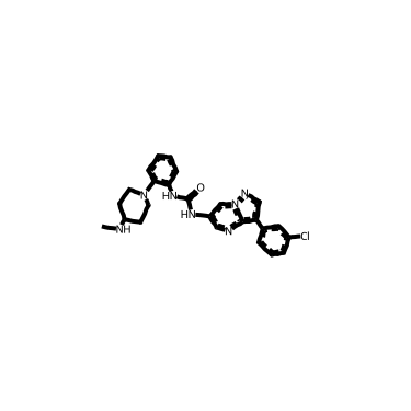 CNC1CCN(c2ccccc2NC(=O)Nc2cnc3c(-c4cccc(Cl)c4)cnn3c2)CC1